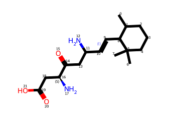 CC1CCCC(C)(C)C1/C=C/C(N)CC(=O)[C@@H](N)CC(=O)O